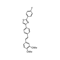 COc1ccc(C=Cc2ccc(-c3csc(-c4ccc(F)cc4)n3)cc2)cc1OC